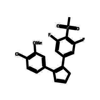 COc1cc(C2=C(c3cc(F)c(S(C)(=O)=O)c(F)c3)CC=C2)ccc1Cl